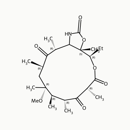 CC[C@H]1OC(=O)[C@H](C)C(=O)[C@H](C)[C@@H](C)[C@](C)(OC)C[C@@H](C)C(=O)[C@H](C)C2NC(=O)O[C@@]21C